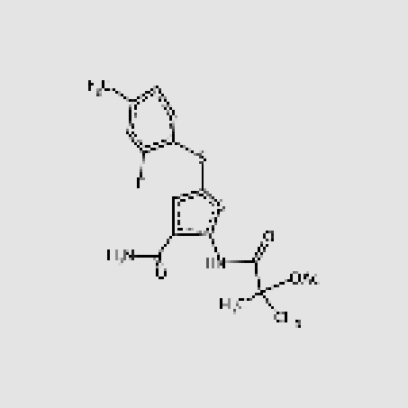 CC(=O)OC(C)(C)C(=O)Nc1sc(Sc2ccc(C(F)(F)F)cc2F)cc1C(N)=O